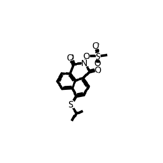 CC(C)Sc1ccc2c3c(cccc13)C(=O)N(OS(C)(=O)=O)C2=O